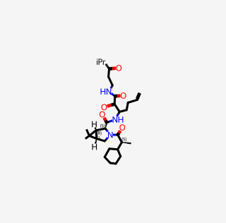 C=CCCC(NC(=O)[C@@H]1[C@@H]2[C@H](CN1C(=O)[C@@H](C)C1CCCCC1)C2(C)C)C(=O)C(=O)NCCC(=O)C(C)C